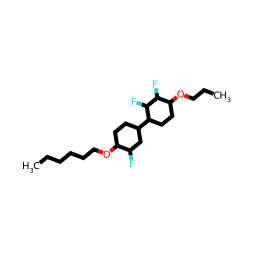 CCCCCCOC1CCC(C2CCC(OCCC)C(F)C2F)CC1F